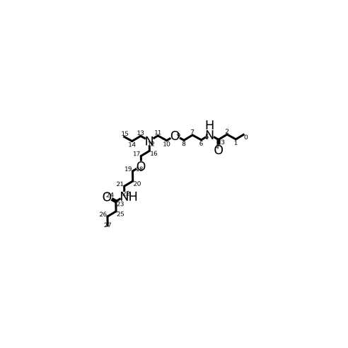 CCCC(=O)NCCCOCCN(CCC)CCOCCCNC(=O)CCC